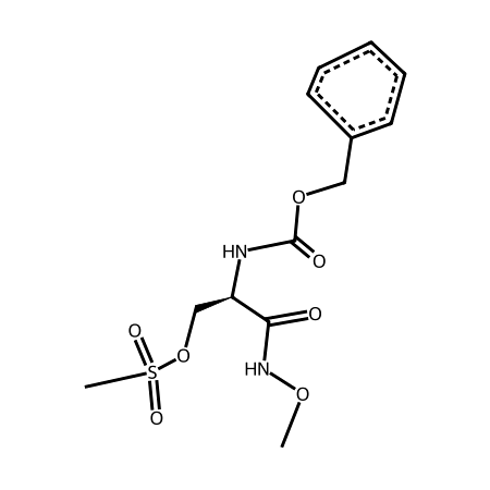 CONC(=O)[C@@H](COS(C)(=O)=O)NC(=O)OCc1ccccc1